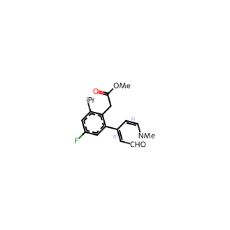 CN/C=C\C(=C/C=O)c1cc(F)cc(C(C)C)c1CC(=O)OC